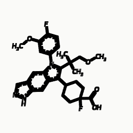 COCC(C)(C)c1c(C2CCC(F)(C(=O)O)CC2)c2cc3[nH]ncc3cc2n1-c1ccc(F)c(OC)c1